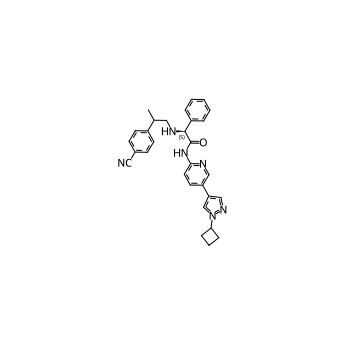 CC(CN[C@H](C(=O)Nc1ccc(-c2cnn(C3CCC3)c2)cn1)c1ccccc1)c1ccc(C#N)cc1